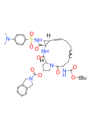 CN(C)c1ccc(S(=O)(=O)NC(=O)[C@@]23C[C@H]2/C=C\CCCCC[C@H](NC(=O)OC(C)(C)C)C(=O)N2C[C@H](OC(=O)N4Cc5ccccc5C4)C[C@H]2C(=O)N3)cc1